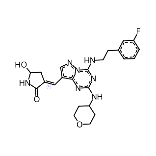 O=C1NC(O)C/C1=C\c1cnn2c(NCCc3cccc(F)c3)nc(NC3CCOCC3)nc12